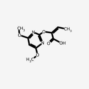 CC=C(Oc1nc(OC)cc(OC)n1)C(=O)O